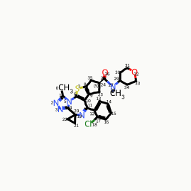 Cc1nnc2n1-c1sc3c(c1C(c1ccccc1Cl)=NC21CC1)C[C@H](C(=O)N(C)C1CCOCC1)C3